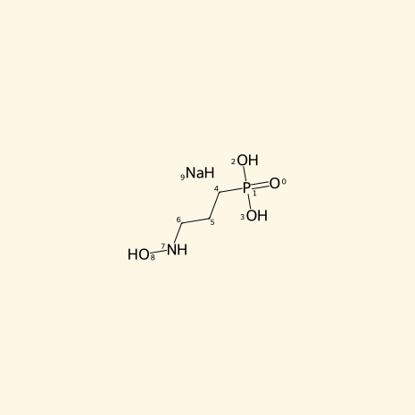 O=P(O)(O)CCCNO.[NaH]